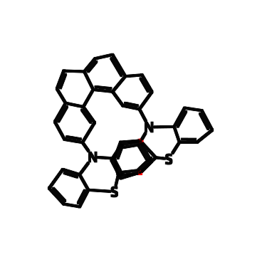 c1ccc2c(c1)Sc1ccccc1N2c1ccc2ccc3ccc4ccc(N5c6ccccc6Sc6ccccc65)cc4c3c2c1